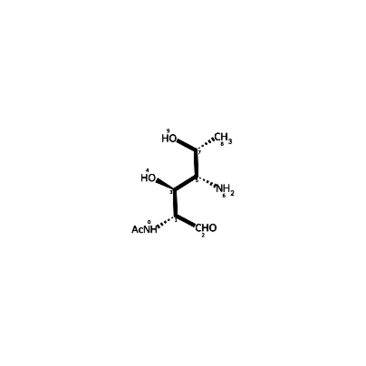 CC(=O)N[C@@H](C=O)[C@@H](O)[C@@H](N)[C@@H](C)O